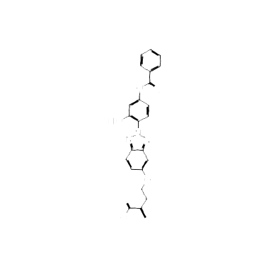 C=C(CCOc1ccc2nn(-c3ccc(OC(=O)c4ccccc4)cc3O)nc2c1)C(=O)O